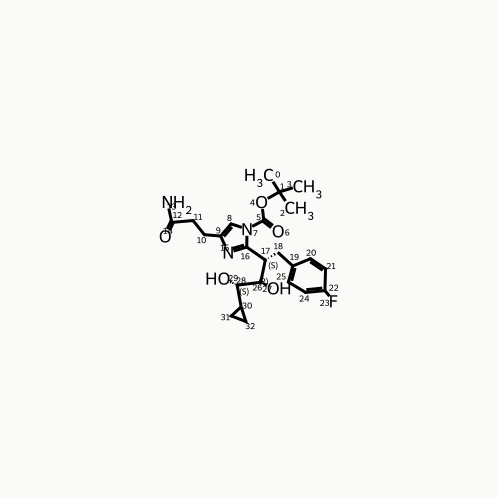 CC(C)(C)OC(=O)n1cc(CCC(N)=O)nc1[C@H](Cc1ccc(F)cc1)[C@@H](O)[C@@H](O)C1CC1